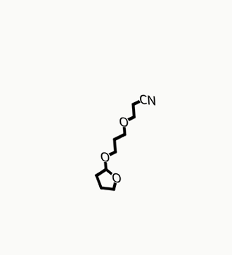 N#CCCOCCCOC1CCCO1